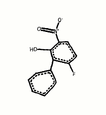 O=[N+]([O-])c1ccc(F)c(-c2ccccc2)c1O